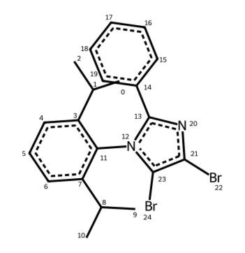 CC(C)c1cccc(C(C)C)c1-n1c(-c2ccccc2)nc(Br)c1Br